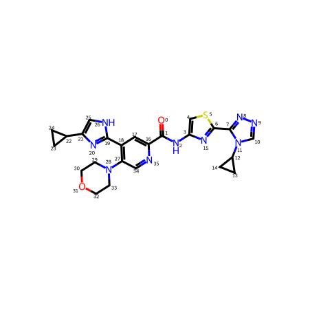 O=C(Nc1csc(-c2nncn2C2CC2)n1)c1cc(-c2nc(C3CC3)c[nH]2)c(N2CCOCC2)cn1